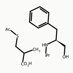 CC(=O)SCC(C)C(=O)O.CC(C)N[C@H](CO)Cc1ccccc1